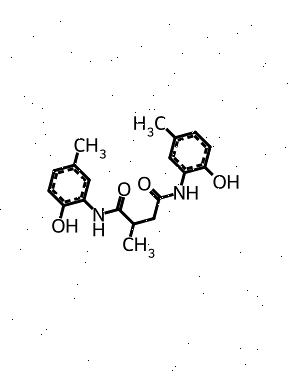 Cc1ccc(O)c(NC(=O)CC(C)C(=O)Nc2cc(C)ccc2O)c1